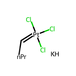 CCC[CH]=[Pt]([Cl])([Cl])[Cl].[KH]